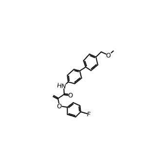 C=C(Oc1ccc(F)cc1)C(=O)Nc1ccc(-c2ccc(COC)cc2)cc1